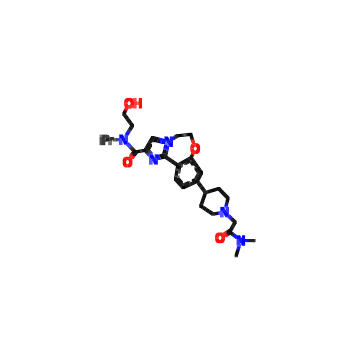 CC(C)N(CCO)C(=O)c1cn2c(n1)-c1ccc(C3CCN(CC(=O)N(C)C)CC3)cc1OCC2